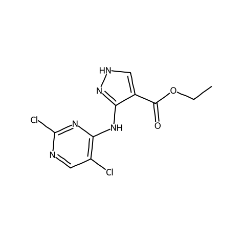 CCOC(=O)c1c[nH]nc1Nc1nc(Cl)ncc1Cl